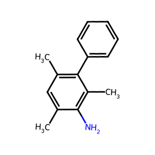 Cc1cc(C)c(-c2ccccc2)c(C)c1N